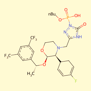 CCCCOP(=O)(O)n1nc(CN2CCO[C@H](O[C@H](C)c3cc(C(F)(F)F)cc(C(F)(F)F)c3)[C@@H]2C2C=CC(F)=CC2)[nH]c1=O